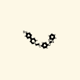 Brc1ccc(C2CCN(CCOc3ccc(Oc4nc5ccccc5s4)cc3)CC2)cc1